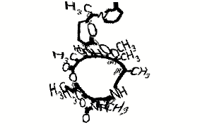 CC[C@H]1OC(=O)C(C)C(=O)[C@H](C)[C@@H](O[C@@H]2O[C@H]([C@H](C)N3CCCCC3)CC[C@H]2O)[C@](C)(OC)C[C@@H](C)CN[C@H](C)[C@H]2NC(=O)O[C@@]21C